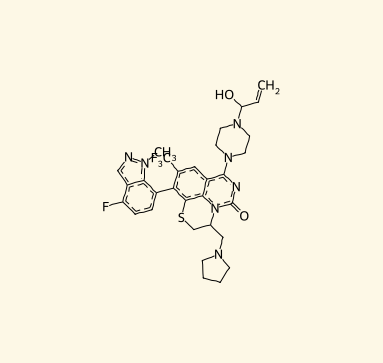 C=CC(O)N1CCN(c2nc(=O)n3c4c(c(-c5ccc(F)c6cnn(C)c56)c(C(F)(F)F)cc24)SCC3CN2CCCC2)CC1